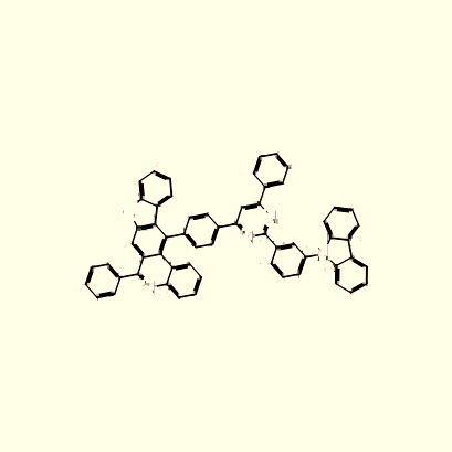 c1ccc(-c2cc(-c3ccc(-c4c5c(cc6c(-c7ccccc7)nc7ccccc7c46)oc4ccccc45)cc3)nc(-c3cccc(-n4c5ccccc5c5ccccc54)c3)n2)cc1